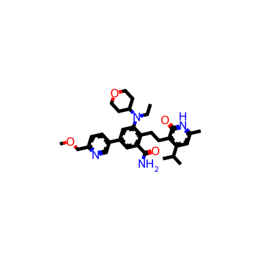 CCN(c1cc(-c2ccc(COC)nc2)cc(C(N)=O)c1CCc1c(C(C)C)cc(C)[nH]c1=O)C1CCOCC1